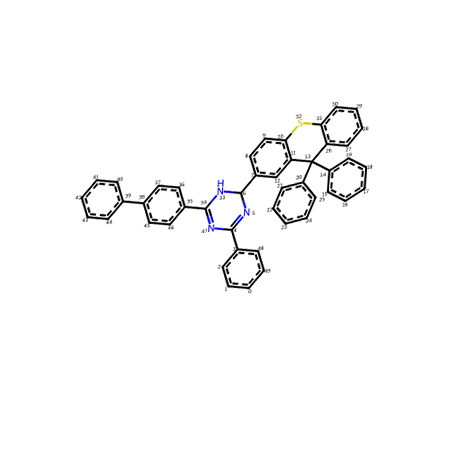 c1ccc(C2=NC(c3ccc4c(c3)C(c3ccccc3)(c3ccccc3)c3ccccc3S4)NC(c3ccc(-c4ccccc4)cc3)=N2)cc1